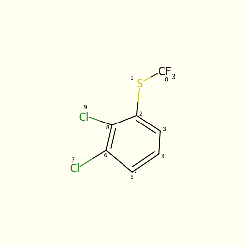 FC(F)(F)Sc1cc[c]c(Cl)c1Cl